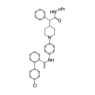 C=C(Nc1ccc(N2CCC(C(C(=O)NCCC)c3ccccc3)CC2)cc1)c1ccccc1-c1ccc(Cl)cc1